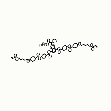 C=CC(=O)OCCCCCOC1CCC(C(=O)OC2CCC(C(=O)Oc3ccc(OC(=O)C4CCC(OC(=O)C5CCC(OCCCCCOC(=O)C=C)CC5)CC4)c4c3SC(=C(C#N)C(=O)OCCC)S4)CC2)CC1